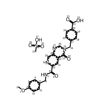 COc1ccc(CNC(=O)c2cc3c(=O)n(Cc4ccc(C(=O)O)cc4)cnc3cn2)cc1.CS(=O)(=O)O